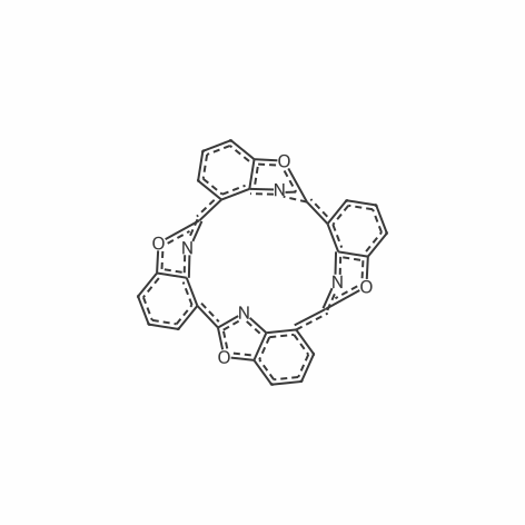 c1cc2oc3nc2c(c1)c1nc2c(cccc2c2nc4c(cccc4c4nc5c(cccc35)o4)o2)o1